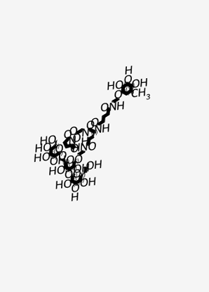 C[C@@H]1C[C@@H](OCCNC(=O)CCCC(=O)N[C@@H](CCC(=O)NCCO[C@H]2O[C@H](CO[C@H]3O[C@H](CO)[C@@H](O)[C@H](O)[C@@H]3O)[C@@H](O)[C@H](O[C@H]3O[C@H](CCO)[C@@H](O)[C@H](O)[C@@H]3O)[C@@H]2O)C(=O)NCC(=O)ON2C(=O)CCC2=O)[C@@H](O)[C@H](O)[C@@H]1O